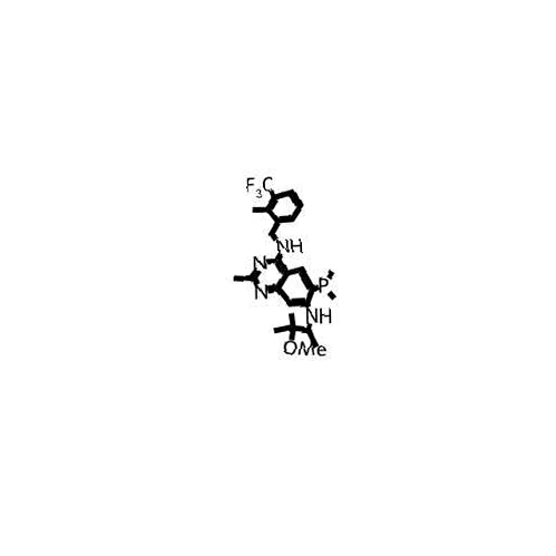 COC(C)(C)C(C)Nc1cc2nc(C)nc(NCc3cccc(C(F)(F)F)c3C)c2cc1P(C)C